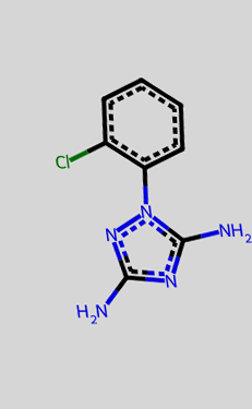 Nc1nc(N)n(-c2ccccc2Cl)n1